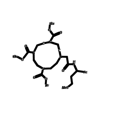 CSCCC(NC(=O)CN1CCN(C(=O)OC(C)C)CCN(C(=O)OC(C)(C)C)CCN(C(=O)OC(C)(C)C)CC1)C(C)=O